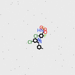 Cc1cccc(-c2nn(-c3cc(F)c(C(=O)NS(C)(=O)=O)cc3Cl)c3ccc(Cl)cc23)c1